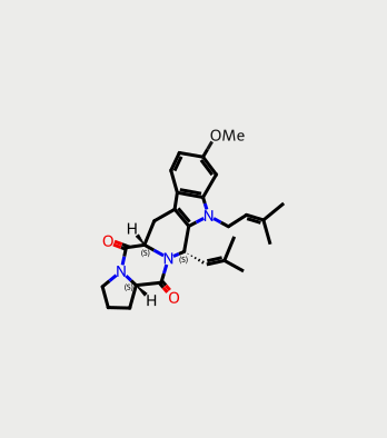 COc1ccc2c3c(n(CC=C(C)C)c2c1)[C@H](C=C(C)C)N1C(=O)[C@@H]2CCCN2C(=O)[C@@H]1C3